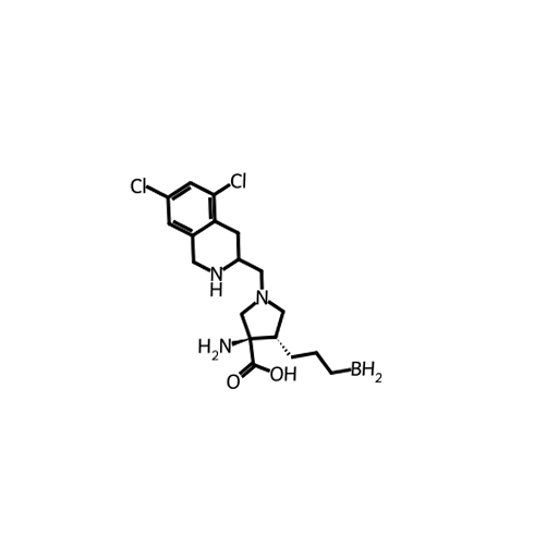 BCCC[C@H]1CN(CC2Cc3c(Cl)cc(Cl)cc3CN2)C[C@@]1(N)C(=O)O